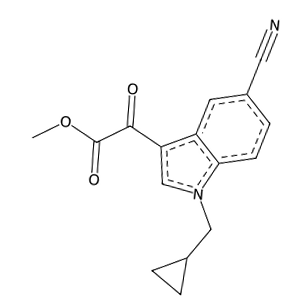 COC(=O)C(=O)c1cn(CC2CC2)c2ccc(C#N)cc12